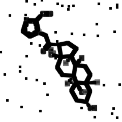 C[C@]12CC[C@@H](O)C[C@H]1CC[C@@H]1[C@@H]2CC[C@]2(C)[C@@H](C(=O)Cn3ccnc3C=O)CC[C@@H]12